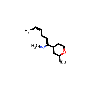 C=NC(=CC/C=C\C)C1CCOC(CCCC)C1